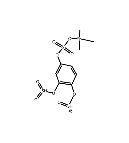 C[Si](C)(C)OS(=O)(=O)Oc1ccc(O[SH](=O)=O)c(O[SH](=O)=O)c1